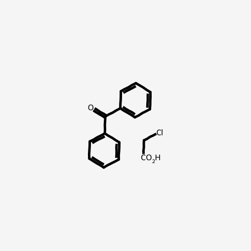 O=C(O)CCl.O=C(c1ccccc1)c1ccccc1